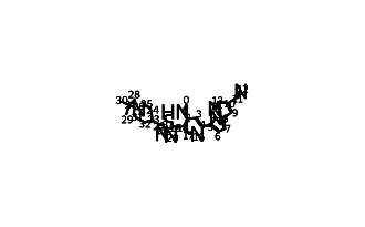 CNc1cc(-c2ccc3cc(C#N)cnn23)ncc1-c1nnc(C2CCN(C(C)(C)C)CC2)s1